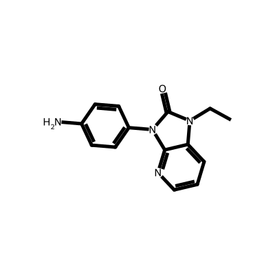 CCn1c(=O)n(-c2ccc(N)cc2)c2ncccc21